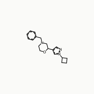 c1ccc(CN2CCOC(c3cnn(C4CCC4)c3)C2)cc1